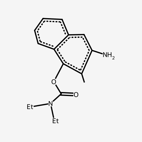 CCN(CC)C(=O)Oc1c(C)c(N)cc2ccccc12